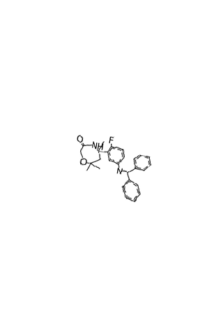 CC1(C)CC(C)(c2cc(N=C(c3ccccc3)c3ccccc3)ccc2F)NC(=O)CO1